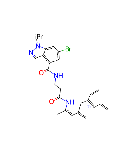 C=C/C=C(\C=C)CC(=C)/C=C(/C)NC(=O)CCNC(=O)c1cc(Br)cc2c1cnn2C(C)C